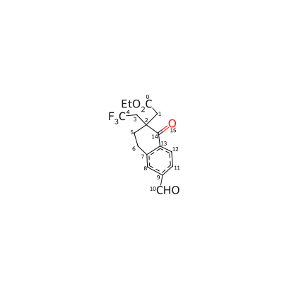 CCOC(=O)CC1(CC(F)(F)F)CCc2cc(C=O)ccc2C1=O